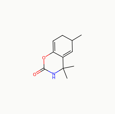 CC1C=C2C(=CC1)OC(=O)NC2(C)C